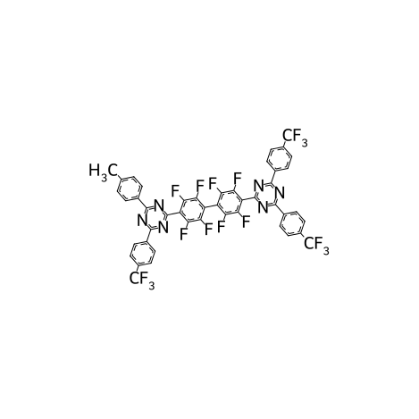 Cc1ccc(-c2nc(-c3ccc(C(F)(F)F)cc3)nc(-c3c(F)c(F)c(-c4c(F)c(F)c(-c5nc(-c6ccc(C(F)(F)F)cc6)nc(-c6ccc(C(F)(F)F)cc6)n5)c(F)c4F)c(F)c3F)n2)cc1